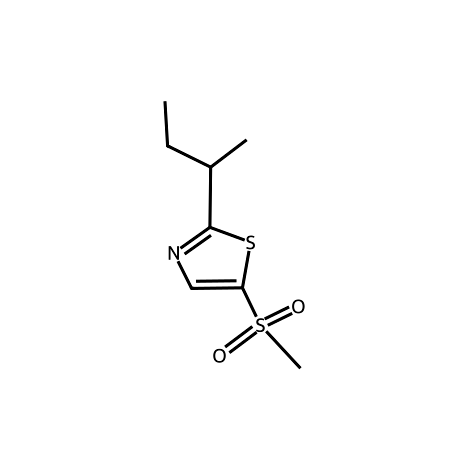 CCC(C)c1ncc(S(C)(=O)=O)s1